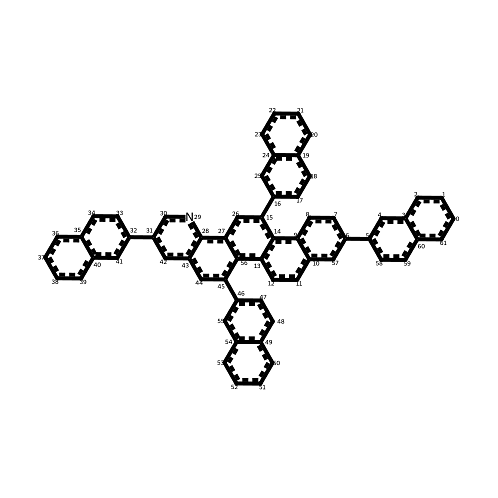 c1ccc2cc(-c3ccc4c(ccc5c4c(-c4ccc6ccccc6c4)cc4c6ncc(-c7ccc8ccccc8c7)cc6cc(-c6ccc7ccccc7c6)c45)c3)ccc2c1